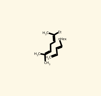 C=CC=CCCCCCC.CCC(C)=CCC=C(C)C